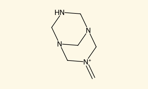 C=[N+]1CN2CNCN(C2)C1